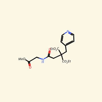 CCOC(=O)C(CC(=O)NCC(=O)OC)(Cc1ccncc1)C(=O)OCC